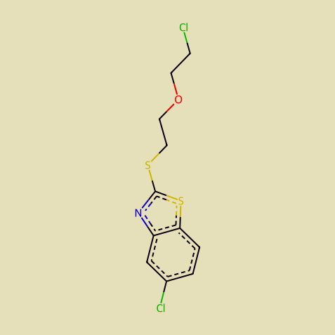 ClCCOCCSc1nc2cc(Cl)ccc2s1